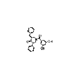 O=C1C(=Cc2ccccn2)CN(C(=O)c2cc(O)cc(O)c2)CC1c1ccccc1